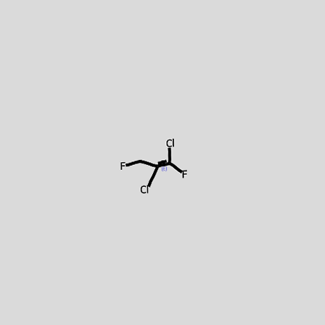 FC/C(Cl)=C(/F)Cl